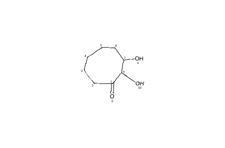 O=C1CCC[CH]CC(O)C1O